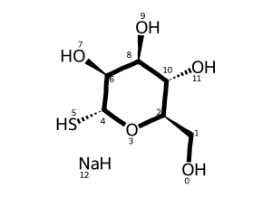 OC[C@H]1O[C@H](S)[C@@H](O)[C@@H](O)[C@@H]1O.[NaH]